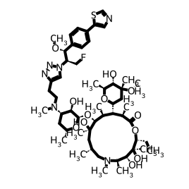 CC[C@H]1OC(=O)[C@H](C)[C@@H](C2C[C@@](C)(OC)[C@@H](O)[C@H](C)O2)[C@H](C)[C@@H](O[C@@H]2O[C@H](C)C[C@H](N(C)CCc3cn([C@H](CF)[C@H](OC)c4ccc(-c5cncs5)cc4)nn3)[C@H]2O)[C@](C)(O)C[C@@H](C)CN(C)[C@H](C)[C@@H](O)[C@]1(C)O